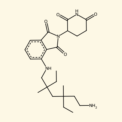 CCC(C)(CCN)CC(C)(CC)CNc1cccc2c1C(=O)N(C1CCC(=O)NC1=O)C2=O